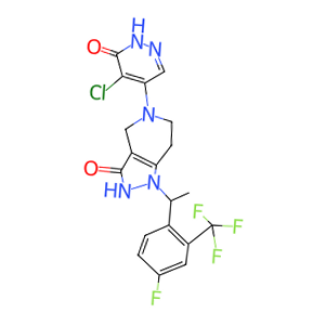 CC(c1ccc(F)cc1C(F)(F)F)n1[nH]c(=O)c2c1CCN(c1cn[nH]c(=O)c1Cl)C2